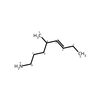 CC/C=C/C(C)CCCN